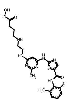 Cc1nc(NCCNCCCC(=O)NO)cc(Nc2ncc(C(=O)Nc3c(C)cccc3Cl)s2)n1